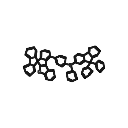 c1ccc(N(c2ccc(-c3cccc4c3-c3c(oc5ccccc35)C43c4ccccc4-c4ccccc43)cc2)c2ccc3c(c2)C(c2ccccc2)(c2ccccc2)c2ccccc2-3)cc1